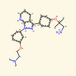 CN(C)CCOc1cccc(-n2nc(-c3ccc(OC(C)(C)CN)cc3)c3cccnc32)c1